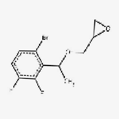 CC(OCC1CO1)c1c(Br)ccc(F)c1F